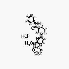 Cl.Cn1c(=O)n(CC(C)(C)C)c2ccc(N3CCCC(C(=O)Nc4ccccc4)C3)nc21